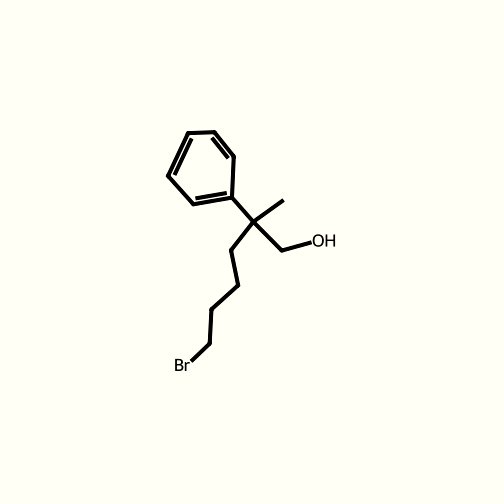 CC(CO)(CCCCBr)c1ccccc1